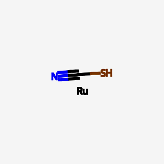 N#CS.[Ru]